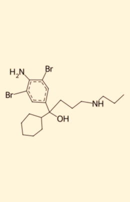 CCCNCCCC(O)(c1cc(Br)c(N)c(Br)c1)C1CCCCC1